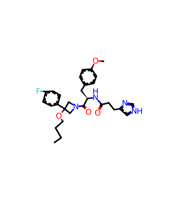 CCCCOC1(c2ccc(F)cc2)CN(C(=O)[C@@H](Cc2ccc(OC)cc2)NC(=O)CCc2c[nH]cn2)C1